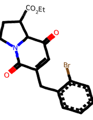 CCOC(=O)C1CCN2C(=O)C(Cc3ccccc3Br)=CC(=O)C12